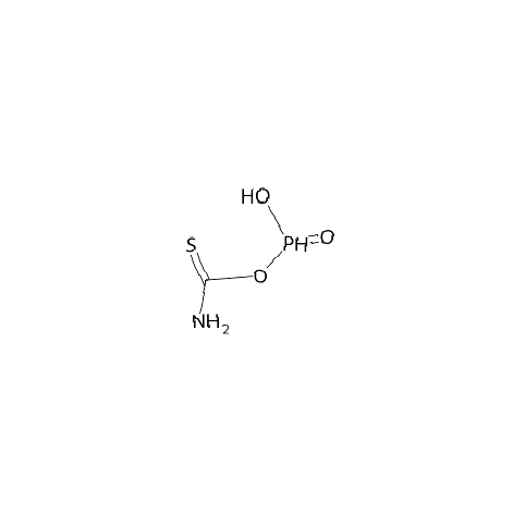 NC(=S)O[PH](=O)O